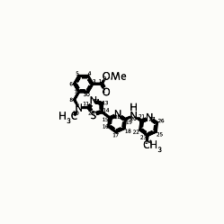 COC(=O)c1cccc(CN(C)c2ncc(-c3cccc(Nc4cc(C)ccn4)n3)s2)c1